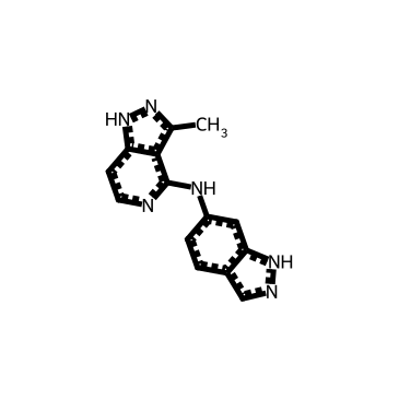 Cc1n[nH]c2ccnc(Nc3ccc4cn[nH]c4c3)c12